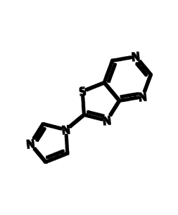 c1cn(-c2nc3ncncc3s2)cn1